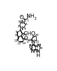 NCC(=O)N1CCN(c2ccc3cccc(OC[C@H]4CCCN4c4ncnc5[nH]cnc45)c3c2C=O)CC1